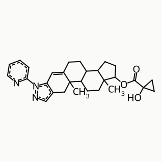 CC12Cc3cnn(-c4ccccn4)c3C=C1CCC1C2CCC2(C)C(OC(=O)C3(O)CC3)CCC12